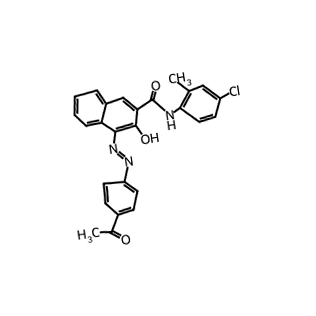 CC(=O)c1ccc(/N=N/c2c(O)c(C(=O)Nc3ccc(Cl)cc3C)cc3ccccc23)cc1